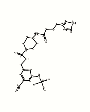 N#Cc1cc(COC(=O)N2CCC(NC(=O)CCCc3c[nH]nn3)CC2)cc(OC(F)(F)F)c1